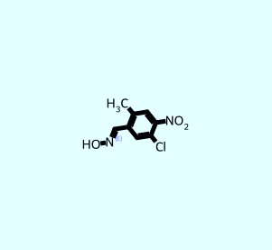 Cc1cc([N+](=O)[O-])c(Cl)cc1/C=N/O